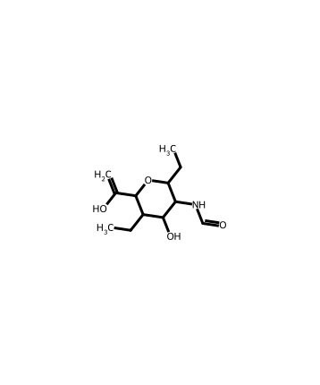 C=C(O)C1OC(CC)C(NC=O)C(O)C1CC